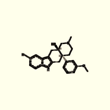 COc1cccc([C@@]23CCN(C)C[C@@]2(O)Cc2c([nH]c4ccc(Br)cc24)C3)c1